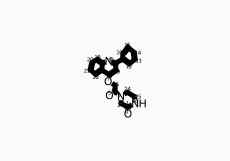 O=C1CN(C(=O)COc2cc(-c3ccccc3)nc3ccccc23)CCN1